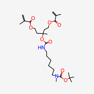 C=C(C)C(=O)OCCC(C)(CCOC(=O)C(=C)C)OC(=O)NCCCCCCN(C)C(=O)OC(C)(C)C